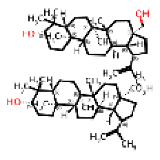 C=C(C)[C@@H]1CC[C@]2(C(=O)O)CC[C@]3(C)[C@H](CC[C@@H]4[C@@]5(C)CC[C@H](O)C(C)(C)[C@@H]5CC[C@]43C)[C@@H]12.C=C(C)[C@@H]1CC[C@]2(CO)CC[C@]3(C)[C@H](CC[C@@H]4[C@@]5(C)CC[C@H](O)C(C)(C)[C@@H]5CC[C@]43C)[C@@H]12